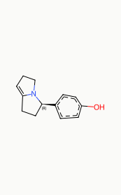 Oc1ccc([C@H]2CCC3=CCCN32)cc1